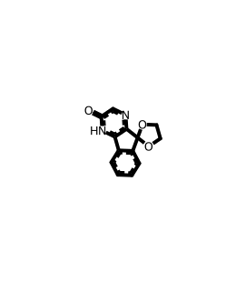 O=c1cnc2c([nH]1)-c1ccccc1C21OCCO1